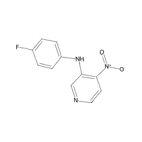 O=[N+]([O-])c1ccncc1Nc1ccc(F)cc1